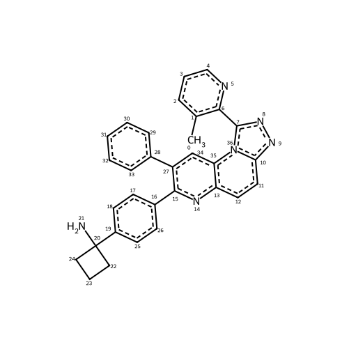 Cc1cccnc1-c1nnc2ccc3nc(-c4ccc(C5(N)CCC5)cc4)c(-c4ccccc4)cc3n12